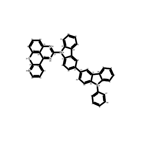 c1ccc(-n2c3ccccc3c3cc(-c4ccc5c(c4)c4ccccc4n5-c4nc5c6c(cccc6n4)Sc4ncccc4-5)ccc32)cc1